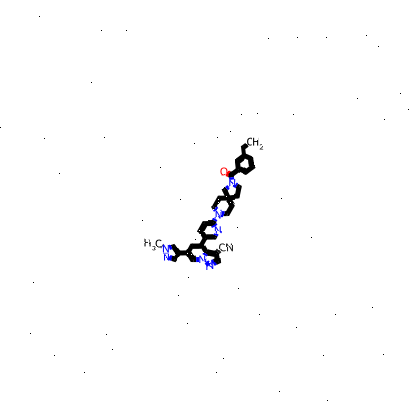 C=Cc1cccc(C(=O)N2CCC3(CCN(c4ccc(-c5cc(-c6cnn(C)c6)cn6ncc(C#N)c56)cn4)CC3)C2)c1